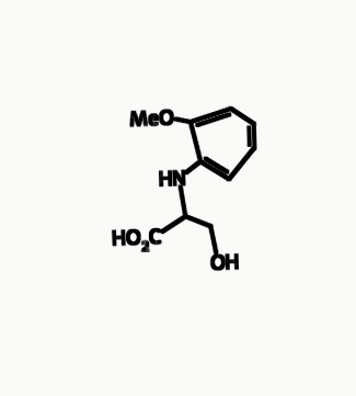 COc1ccccc1NC(CO)C(=O)O